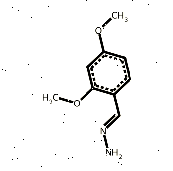 COc1ccc(C=NN)c(OC)c1